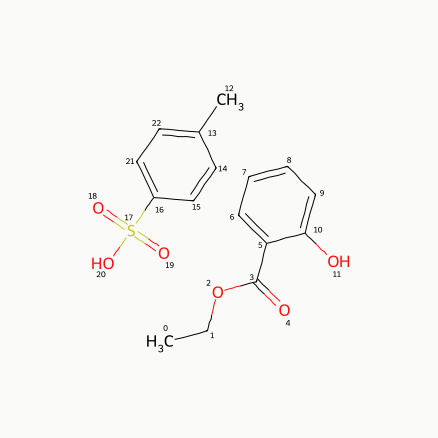 CCOC(=O)c1ccccc1O.Cc1ccc(S(=O)(=O)O)cc1